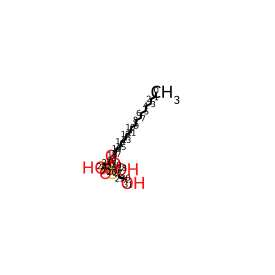 CCCCCCCCCCCCCCCCCCOC(=O)CP(=O)(O)OSC(O)CCO